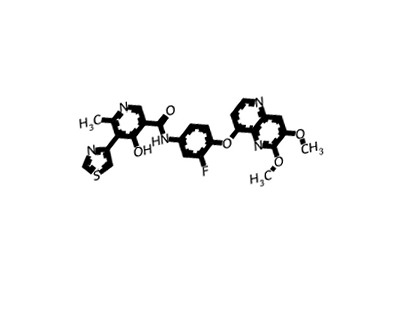 COc1cc2nccc(Oc3ccc(NC(=O)c4cnc(C)c(-c5cscn5)c4O)cc3F)c2nc1OC